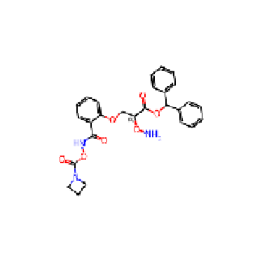 NO[C@@H](COc1ccccc1C(=O)NOC(=O)N1CCC1)C(=O)OC(c1ccccc1)c1ccccc1